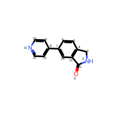 O=C1NCc2ccc(-c3ccncc3)cc21